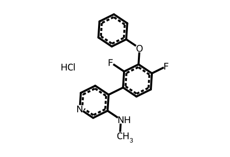 CNc1cnccc1-c1ccc(F)c(Oc2ccccc2)c1F.Cl